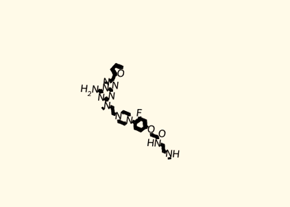 CNCCNC(=O)COc1ccc(N2CCN(CCN(C)c3nc(N)n4nc(-c5ccco5)nc4n3)CC2)c(F)c1